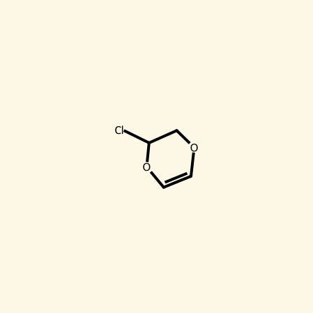 ClC1COC=CO1